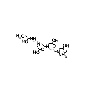 CCC(O)NCCN(CCN(CCCN(C)CC(=O)O)CC(=O)O)CC(=O)O